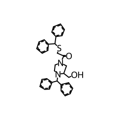 O=C(CSC(c1ccccc1)c1ccccc1)N1CCN(C(c2ccccc2)c2ccccc2)C(CO)C1